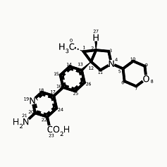 C[C@@H]1[C@@H]2CN(C3CCOCC3)C[C@]12c1ccc(-c2cnc(N)c(C(=O)O)c2)cc1